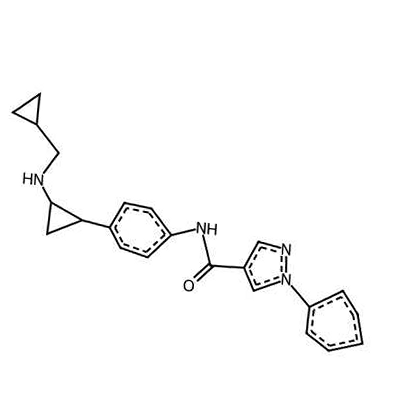 O=C(Nc1ccc(C2CC2NCC2CC2)cc1)c1cnn(-c2ccccc2)c1